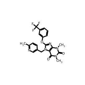 Cc1ccc(Cn2c(Oc3cccc(C(F)(F)F)c3)nc3c2c(=O)n(C)c(=O)n3C)cn1